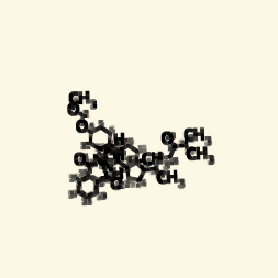 COCOC1CC[C@]2(C)[C@H]3CC[C@]4(C)[C@@H]([C@H](C)CCC(=O)C(C)C)CC[C@H]4C34C=CC2(C1)n1c(=O)c2ccccc2c(=O)n14